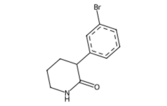 O=C1NCCCC1c1cccc(Br)c1